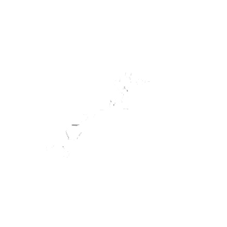 O=C(c1ccc(OCCCN2C[C@@H]3C[C@H]2CN3C(=O)O)cc1)C1CC1